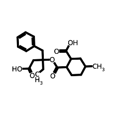 CCC(CC(=O)O)(Cc1ccccc1)OC(=O)C1CCC(C)CC1C(=O)O